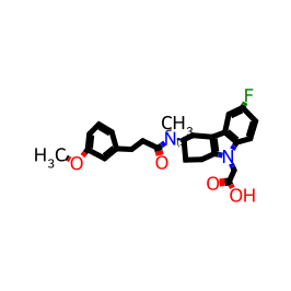 COc1cccc(CCC(=O)N(C)[C@H]2CCc3c(c4cc(F)ccc4n3CC(=O)O)C2)c1